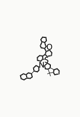 CC1(C)c2ccccc2-c2ccc(N(c3ccc(-c4ccc5ccccc5c4)cc3)c3cccc4c3sc3ccc5oc6c7ccccc7ccc6c5c34)cc21